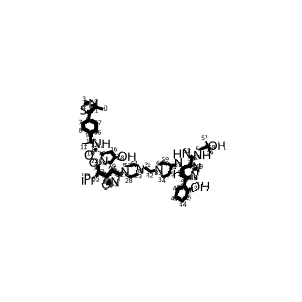 Cc1ncsc1-c1ccc([C@H](C)NC(=O)[C@@H]2C[C@@H](O)CN2C(=O)C(c2cc(N3CCN(CCN4CCC(Nc5cc(-c6ccccc6O)nnc5C(=N)NCC(C)(C)O)CC4)CC3)no2)C(C)C)cc1